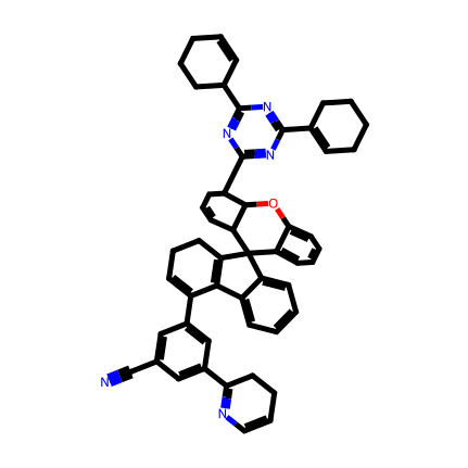 N#Cc1cc(C2=CCCC3=C2c2ccccc2C32c3ccccc3OC3C(c4nc(C5=CCCCC5)nc(C5C=CCCC5)n4)CC=CC32)cc(C2=NC=CCC2)c1